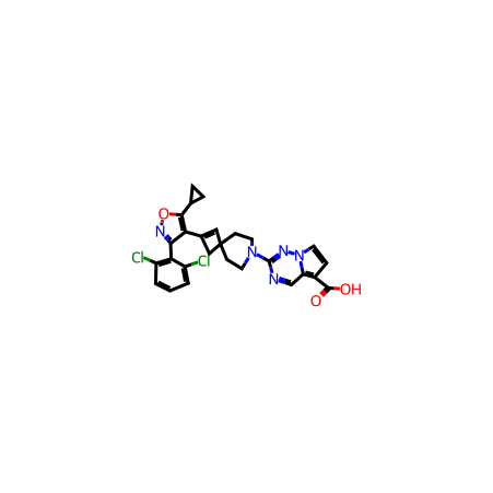 O=C(O)c1ccn2nc(N3CCC4(C=C(c5c(-c6c(Cl)cccc6Cl)noc5C5CC5)C4)CC3)ncc12